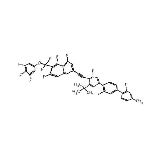 Cc1ccc(-c2ccc(-c3cc(F)c(C#Cc4cc(F)c5c(F)c(C(F)(F)Oc6cc(F)c(F)c(F)c6)c(F)cc5c4)c(C(C)(C)C)c3)c(F)c2)c(F)c1